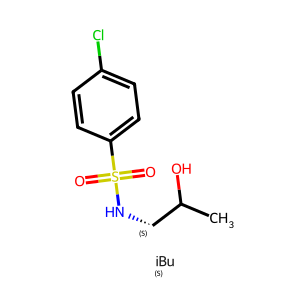 CC[C@H](C)[C@H](NS(=O)(=O)c1ccc(Cl)cc1)C(C)O